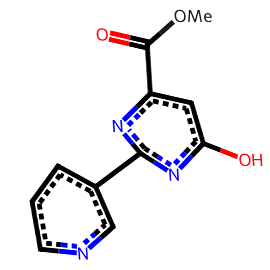 COC(=O)c1cc(O)nc(-c2cccnc2)n1